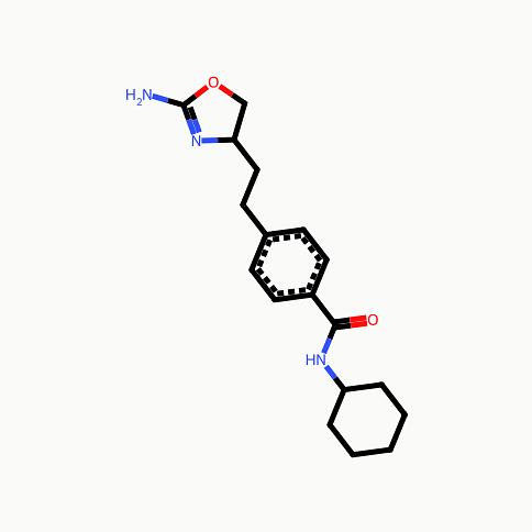 NC1=NC(CCc2ccc(C(=O)NC3CCCCC3)cc2)CO1